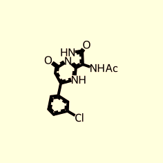 CC(=O)Nc1c(=O)[nH]n2c(=O)cc(-c3cccc(Cl)c3)[nH]c12